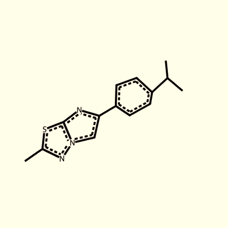 Cc1nn2cc(-c3ccc(C(C)C)cc3)nc2s1